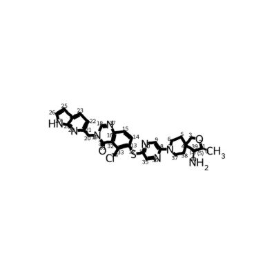 C[C@@H]1OCC2(CCN(c3cnc(Sc4ccc5ncn(Cc6ccc7cc[nH]c7n6)c(=O)c5c4Cl)cn3)CC2)[C@@H]1N